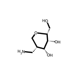 NC[C@@H]1CO[C@H](CO)[C@H](O)[C@@H]1O